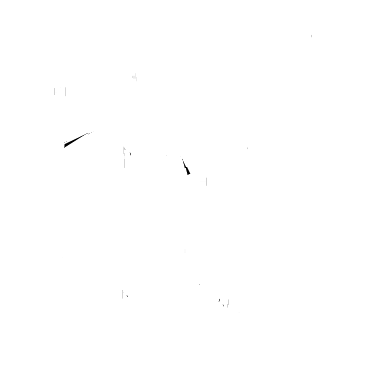 Cl.NC(=O)c1cccc(Oc2ccc(C[C@@H](CO)NC[C@H](O)COc3cccc(Cl)c3)cc2)n1